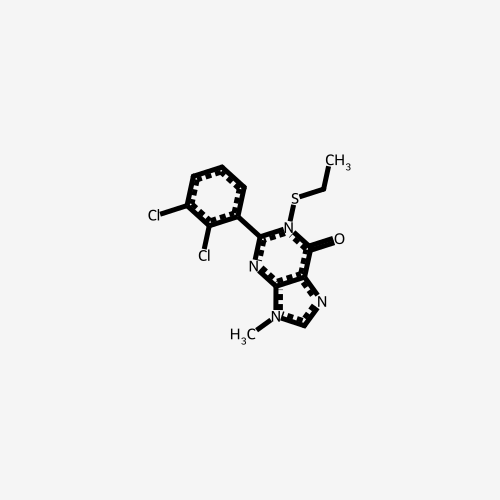 CCSn1c(-c2cccc(Cl)c2Cl)nc2c(ncn2C)c1=O